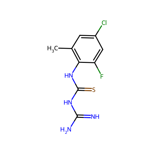 Cc1cc(Cl)cc(F)c1NC(=S)NC(=N)N